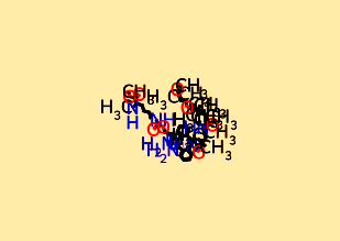 CNC(CCCCNC(=O)OCCN(N)/C1=C(\N)c2ccccc2N(C(=O)C(C)(C)CC(C)(C)NC(=O)C(C)(C)CC(C)(C)C(C)(C)OCCC(C)(C)OC)Cc2ccccc21)C(=O)OC